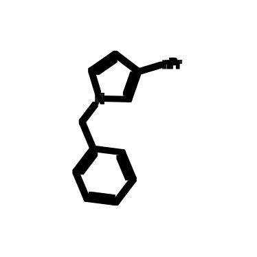 [CH2]CCc1ccn(Cc2ccccc2)c1